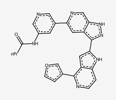 CCCC(=O)Nc1cncc(-c2cc3c(-c4cc5c(-c6ccoc6)nccc5[nH]4)n[nH]c3cn2)c1